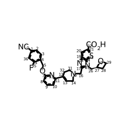 N#Cc1ccc(COc2cccc(C3=CCN(Cc4nc5cc(C(=O)O)sc5n4C[C@@H]4CCO4)CC3)n2)c(F)c1